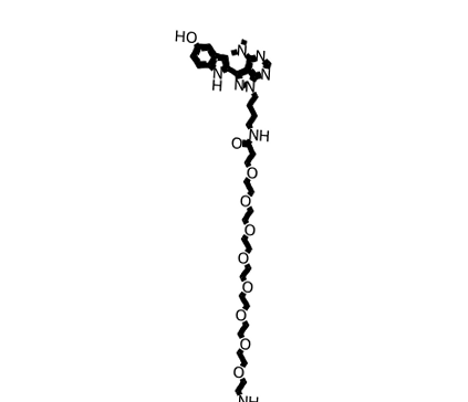 CN(C)c1ncnc2c1c(-c1cc3cc(O)ccc3[nH]1)nn2CCCCNC(=O)CCOCCOCCOCCOCCOCCOCCOCCOCCN